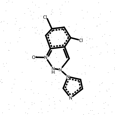 [O-][N+]1=c2cc(Cl)cc(Cl)c2=CN(n2ccnc2)N1